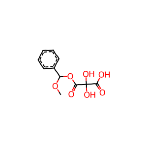 COC(OC(=O)C(O)(O)C(=O)O)c1ccccc1